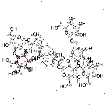 C=C1C[C@@]23CC[C@H]4[C@@](C)(CCC[C@@]4(C)C(=O)O[C@@H]4O[C@H](CO)[C@@H](O)[C@H](O[C@@H]5O[C@H](CO)[C@@H](O)[C@H](O)[C@H]5O)[C@H]4O[C@@H]4O[C@H](CO[C@@H]5O[C@H](CO)[C@@H](O)[C@H](O)[C@H]5O)[C@@H](O)[C@H](O)[C@H]4O)[C@@H]2CC[C@]1(O[C@@H]1O[C@H](CO)[C@@H](O)[C@H](O[C@@H]2O[C@H](CO)[C@@H](O)[C@H](O)[C@H]2O)[C@H]1O[C@@H]1O[C@H](CO)[C@@H](O)[C@H](O)[C@H]1O)C3